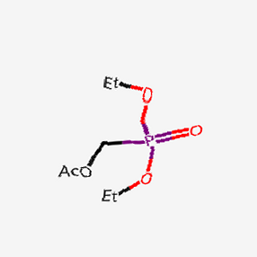 CCOP(=O)(COC(C)=O)OCC